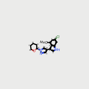 COc1cc(Cl)cc2[nH]cc(-c3cnn(C4CCCCO4)c3)c12